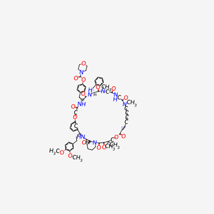 COc1ccc(CC[C@H]2NC(=O)[C@@H]3CCCCN3C(=O)C(=O)C(C)(C)COC(=O)/C=C/CCCCN(C)C(=O)CNC(=O)CN(C)C(=O)[C@@H](Cc3ccccc3)NC(=O)[C@H](Cc3ccc(OC(=O)N4CCOCC4)cc3)NC(=O)COc3cccc2c3)cc1OC